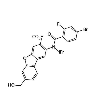 CC(C)N(C(=O)c1ccc(Br)cc1F)c1cc2c(cc1C(=O)O)oc1cc(CO)ccc12